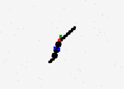 CCCCCCCCCCC(F)COc1ccc(-c2ncc(-c3ccc(CCCC)cc3)cn2)cc1